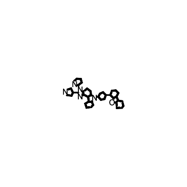 c1ccc(-n2c(-c3ccncc3)nc3c4c5ccccc5n(-c5ccc(-c6cccc7c6oc6ccccc67)cc5)c4ccc32)nc1